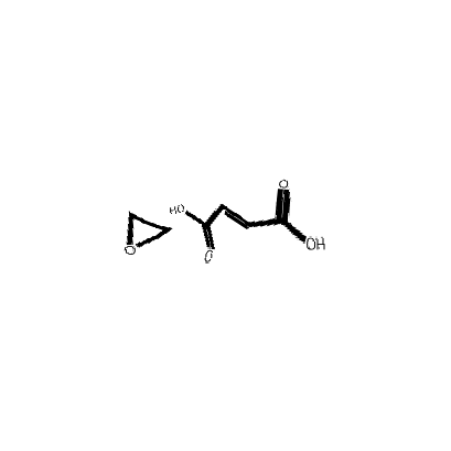 C1CO1.O=C(O)/C=C/C(=O)O